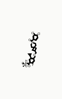 CS(=O)(=O)NC(=O)c1cc(C2CC2)c(COCC2CC3(CCN(C(=O)c4ccc(Cl)c(Cl)c4)CC3)C2)cc1F